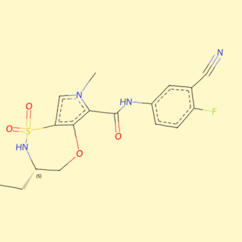 CC[C@H]1COc2c(cn(C)c2C(=O)Nc2ccc(F)c(C#N)c2)S(=O)(=O)N1